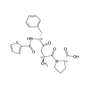 C[C@@H](CC(=O)[C@@H](Cc1ccccc1)NC(=O)c1cccs1)C(=O)N1CCC[C@H]1C(=O)O